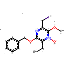 CC(C)Cc1c(OCc2ccccc2)nc(CI)c(OC(C)C)[n+]1[O-]